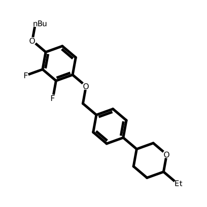 CCCCOc1ccc(OCc2ccc(C3CCC(CC)OC3)cc2)c(F)c1F